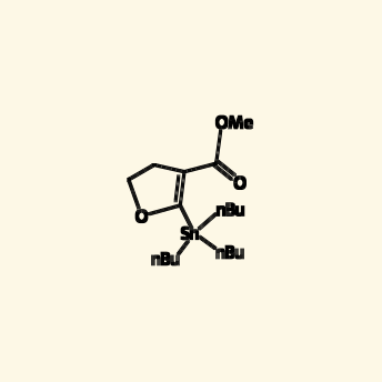 CCC[CH2][Sn]([CH2]CCC)([CH2]CCC)[C]1=C(C(=O)OC)CCO1